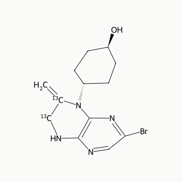 C=[13C]1[13CH2]Nc2ncc(Br)nc2N1[C@H]1CC[C@H](O)CC1